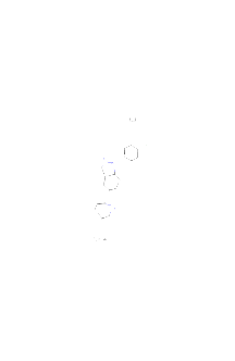 COCOc1ccc(-c2ccc3c(cnn3-c3cc(F)c(F)c(OCOC)c3)c2)nc1